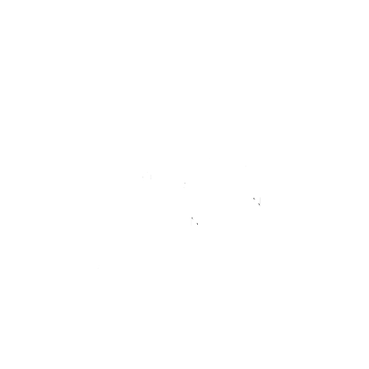 Cc1nc2ccccc2c(=O)n1CCCl